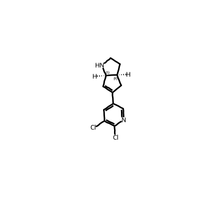 Clc1cc(C2=C[C@H]3NCC[C@H]3C2)cnc1Cl